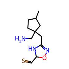 CC1CCC(CN)(CC2=NOC(C=S)N2)C1